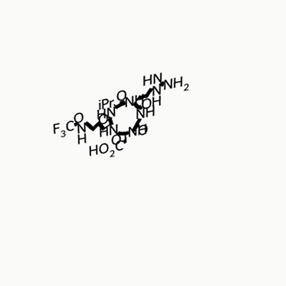 CC(C)[C@H]1NC(=O)[C@H](CCCCNC(=O)C(F)(F)F)NC(=O)[C@H](CC(=O)O)NC(=O)CNC(=O)[C@H](CCCNC(=N)N)NC1=O